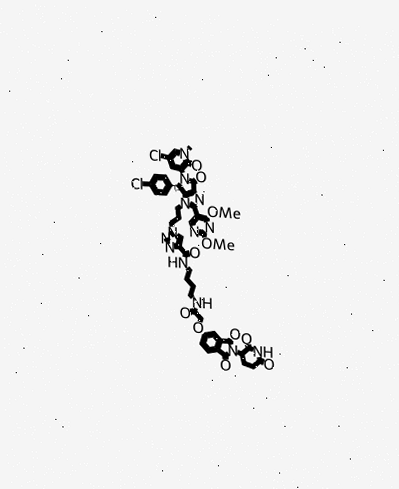 COc1ncc(-c2nc3c(n2CCCn2cc(C(=O)NCCCCNC(=O)COc4ccc5c(c4)C(=O)N(C4CCC(=O)NC4=O)C5=O)nn2)[C@H](c2ccc(Cl)cc2)N(c2cc(Cl)cn(C)c2=O)C3=O)c(OC)n1